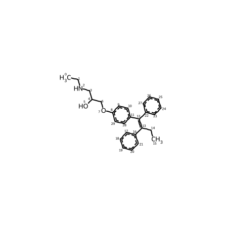 CCNCC(O)COc1ccc(/C(=C(/CC)c2ccccc2)c2ccccc2)cc1